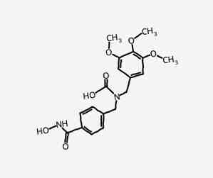 COc1cc(CN(Cc2ccc(C(=O)NO)cc2)C(=O)O)cc(OC)c1OC